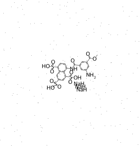 COC(=O)c1cc(N)cc(C(=O)Nc2ccc(S(=O)(=O)O)c3cc(S(=O)(=O)O)cc(S(=O)(=O)O)c23)c1.[NaH].[NaH].[NaH]